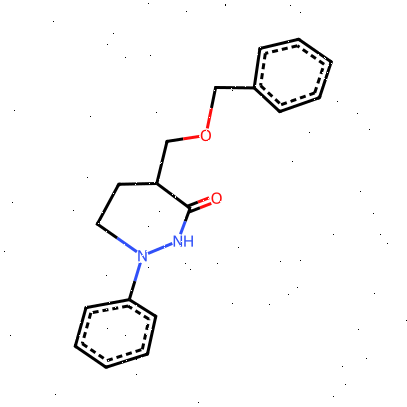 O=C1NN(c2ccccc2)CCC1COCc1ccccc1